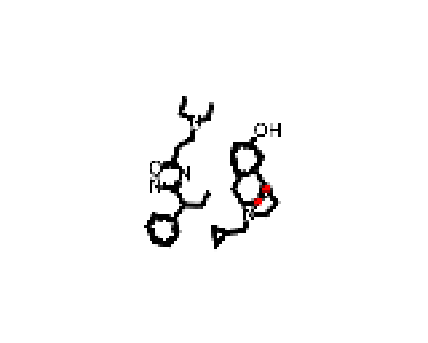 CCC(c1ccccc1)c1noc(CCN(CC)CC)n1.Oc1ccc2c(c1)C13CCN(CC4CC4)C(C2)C1CCOC3